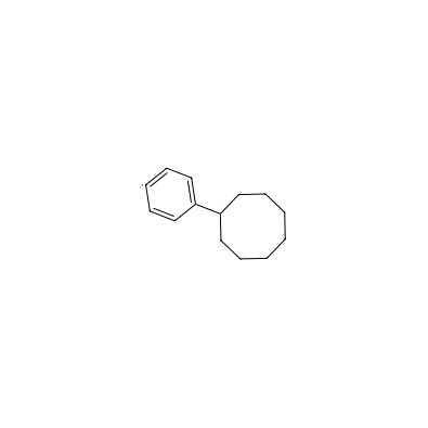 [c]1ccc(C2CCCCCCC2)cc1